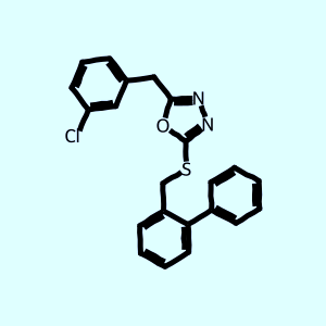 Clc1cccc(Cc2nnc(SCc3ccccc3-c3ccccc3)o2)c1